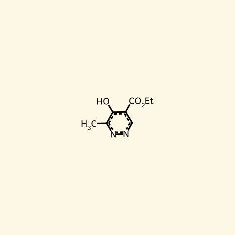 CCOC(=O)c1cnnc(C)c1O